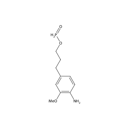 COc1cc(CCCO[PH2]=O)ccc1N